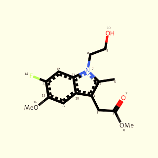 COC(=O)Cc1c(C)n(CCO)c2cc(F)c(OC)cc12